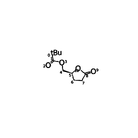 CC(C)(C)C(=O)OC[C@@H]1CCC(=O)O1